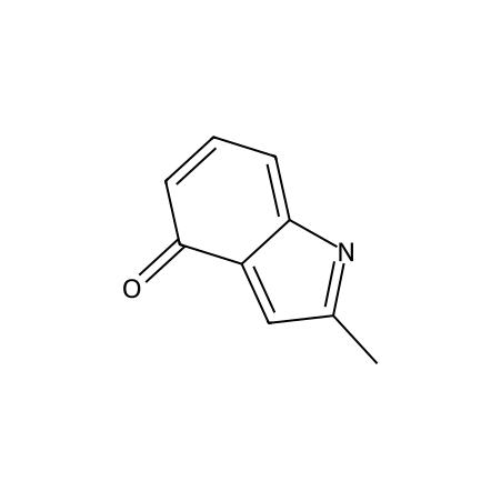 CC1=NC2=CC=CC(=O)C2=C1